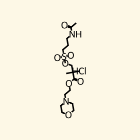 CC(=O)NCCCS(=O)(=O)OCC(C)(C)C(=O)OCCN1CCOCC1.Cl